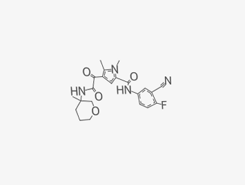 Cc1c(C(=O)C(=O)NC2(C)CCCOC2)cc(C(=O)Nc2ccc(F)c(C#N)c2)n1C